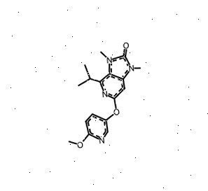 COc1ccc(Oc2cc3c(c(C(C)C)n2)n(C)c(=O)n3C)cn1